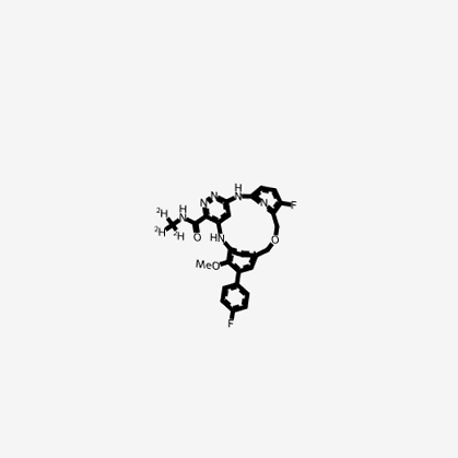 [2H]C([2H])([2H])NC(=O)c1nnc2cc1Nc1cc(cc(-c3ccc(F)cc3)c1OC)COCc1nc(ccc1F)N2